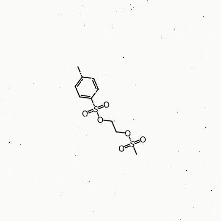 Cc1ccc(S(=O)(=O)O[CH]COS(C)(=O)=O)cc1